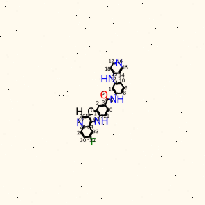 Cc1cc(C(=O)Nc2cccc(Nc3ccncc3)c2)ccc1Nc1ccnc2ccc(F)cc12